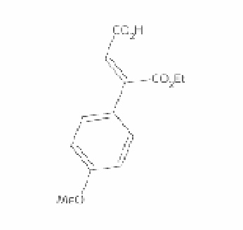 CCOC(=O)C(=CC(=O)O)c1ccc(OC)cc1